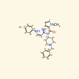 Cn1cccc1C(=O)N(C(=N)/C=C\Nc1ccc(F)cc1)C1CCN(Cc2ccccc2)CC1